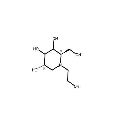 OCCN1C[C@H](O)C(O)C(O)[C@H]1CO